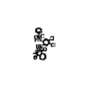 CS(=O)(=O)c1ccccc1S(=O)(=O)Nc1cc(Cl)c(Cl)cc1NS(=O)(=O)c1cccs1